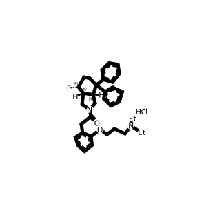 CCN(CC)CCCOc1ccccc1CC(=O)N1C[C@@H]2[C@H](F)CCC(c3ccccc3)(c3ccccc3)[C@@H]2C1.Cl